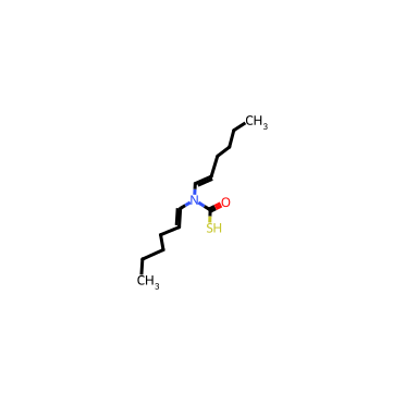 CCCCC=CN(C=CCCCC)C(=O)S